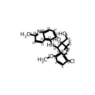 COc1ccc(Cl)c(F)c1C(Nc1cccc2nc(C)ccc12)C(O)(CO)C(F)(F)F